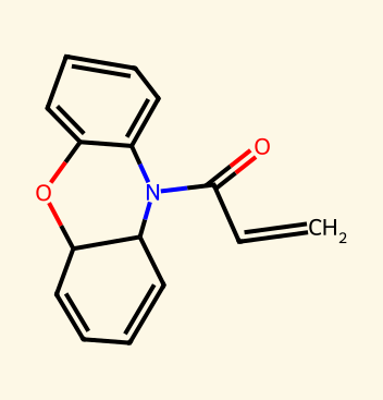 C=CC(=O)N1c2ccccc2OC2C=CC=CC21